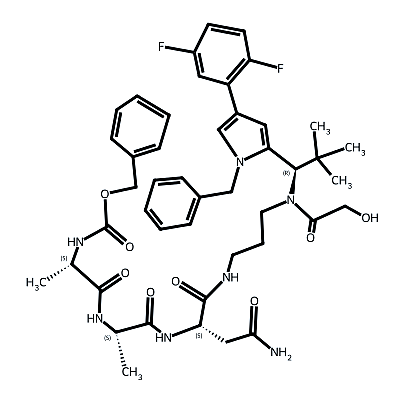 C[C@H](NC(=O)OCc1ccccc1)C(=O)N[C@@H](C)C(=O)N[C@@H](CC(N)=O)C(=O)NCCCN(C(=O)CO)[C@@H](c1cc(-c2cc(F)ccc2F)cn1Cc1ccccc1)C(C)(C)C